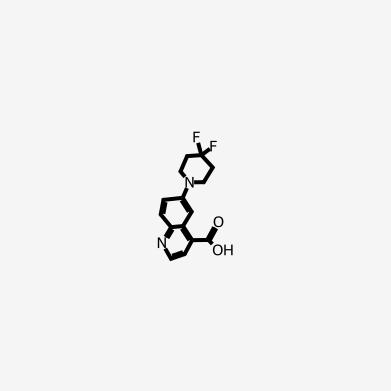 O=C(O)c1ccnc2ccc(N3CCC(F)(F)CC3)cc12